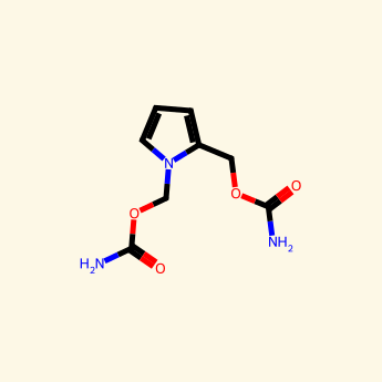 NC(=O)OCc1cccn1COC(N)=O